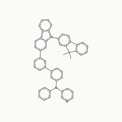 CC1(C)c2ccccc2-c2ccc(-n3c4ccccc4c4ccc(-c5cccc(-c6cccc(N(c7ccccc7)c7cccnc7)c6)c5)cc43)cc21